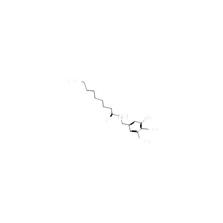 CCCCCCCCCCCCCCCCCC(=O)NCc1cc(C(C)(C)C)c(O)c(C(C)(C)C)c1